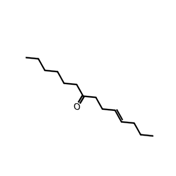 CCC/C=C/CCC(=O)CCCCCC